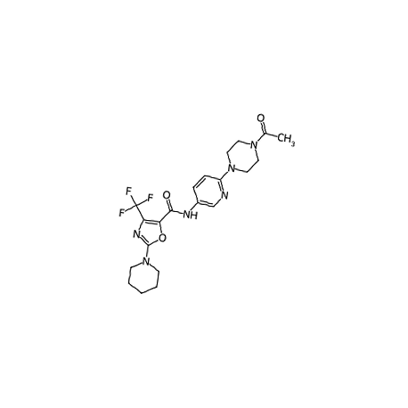 CC(=O)N1CCN(c2ccc(NC(=O)c3oc(N4CCCCC4)nc3C(F)(F)F)cn2)CC1